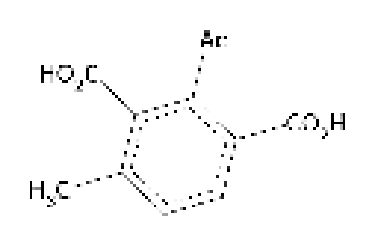 CC(=O)c1c(C(=O)O)ccc(C)c1C(=O)O